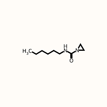 CCCCCCNC(=O)N1CC1